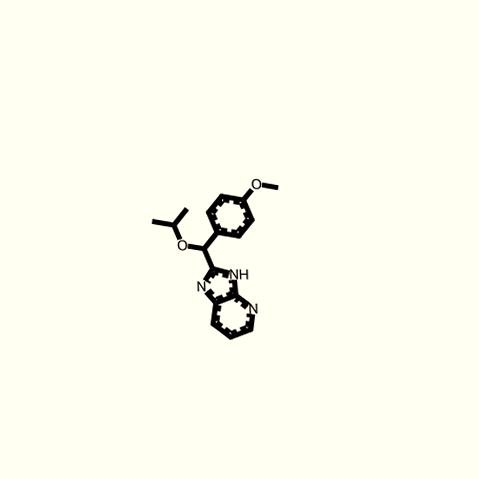 COc1ccc(C(OC(C)C)c2nc3cccnc3[nH]2)cc1